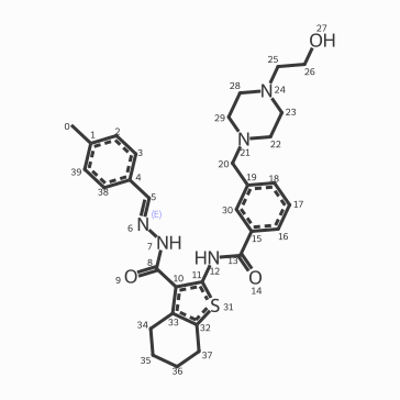 Cc1ccc(/C=N/NC(=O)c2c(NC(=O)c3cccc(CN4CCN(CCO)CC4)c3)sc3c2CCCC3)cc1